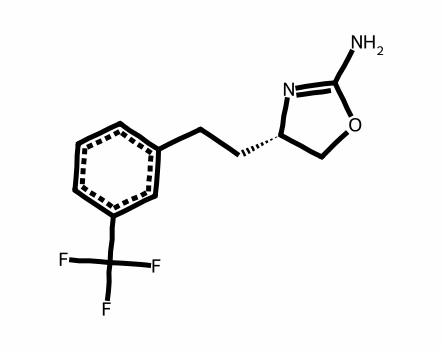 NC1=N[C@@H](CCc2cccc(C(F)(F)F)c2)CO1